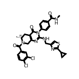 CNC(=O)c1ccc(-n2c(NCc3csc(C4CC4)n3)nc3c(c2=O)C[C@@H](C)N(C(=O)c2ccc(Cl)c(Cl)c2)C3)cc1